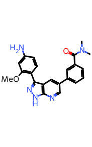 COc1cc(N)ccc1-c1n[nH]c2ncc(-c3cccc(C(=O)N(C)C)c3)cc12